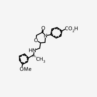 COc1cccc([C@@H](C)NCC2CN(c3ccc(C(=O)O)cc3)C(=O)CO2)c1